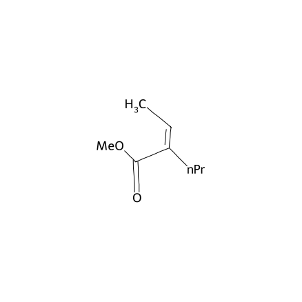 CC=C(CCC)C(=O)OC